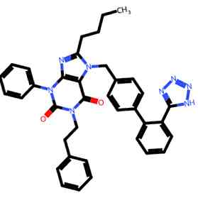 CCCCc1nc2c(c(=O)n(CCc3ccccc3)c(=O)n2-c2ccccc2)n1Cc1ccc(-c2ccccc2-c2nnn[nH]2)cc1